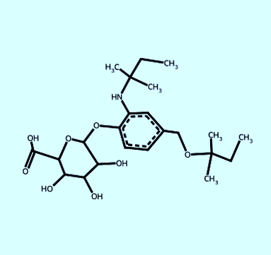 CCC(C)(C)Nc1cc(COC(C)(C)CC)ccc1OC1OC(C(=O)O)C(O)C(O)C1O